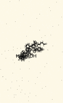 C=C/C=C\C=C\C[C@H]1CN(C)CCN1C(=O)/C=C/C(=C\C(=C)N(C)C)c1cccc(CN2O[C@@H](CO)[C@@H]([C@H](C)O)[C@H]2C(=O)N[C@H]2C[C@H]3C[C@@H]([C@@H]2C)C3(C)C)c1OC